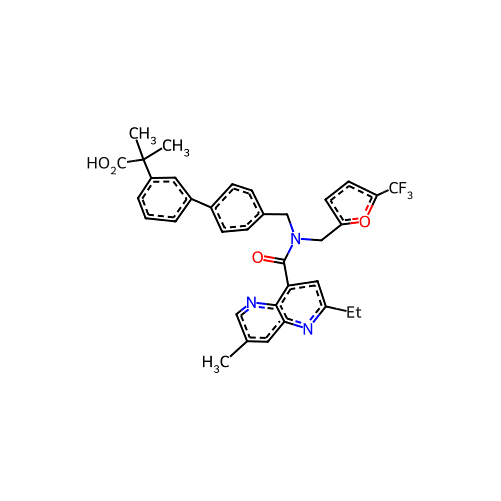 CCc1cc(C(=O)N(Cc2ccc(-c3cccc(C(C)(C)C(=O)O)c3)cc2)Cc2ccc(C(F)(F)F)o2)c2ncc(C)cc2n1